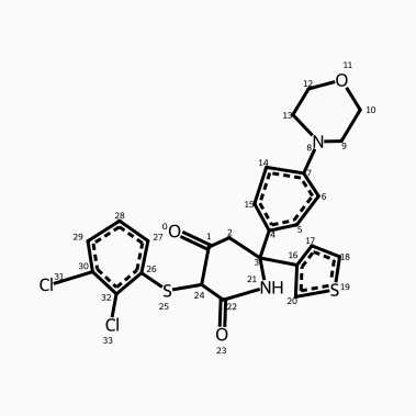 O=C1CC(c2ccc(N3CCOCC3)cc2)(c2ccsc2)NC(=O)C1Sc1cccc(Cl)c1Cl